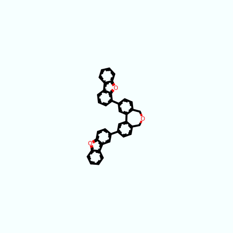 c1ccc2c(c1)oc1ccc(-c3ccc4c(c3)-c3cc(-c5cccc6c5oc5ccccc56)ccc3COC4)cc12